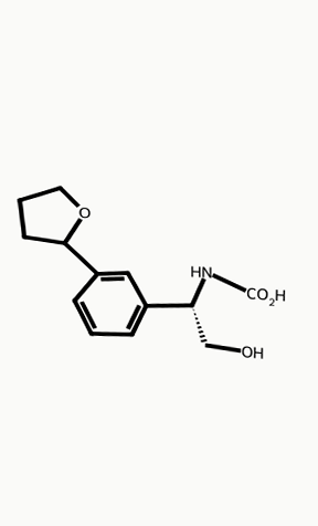 O=C(O)N[C@H](CO)c1cccc(C2CCCO2)c1